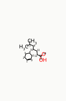 C1=CCCCC1.CC(C)CCCCC(=O)O